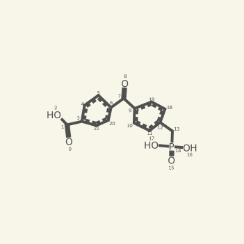 O=C(O)c1ccc(C(=O)c2ccc(CP(=O)(O)O)cc2)cc1